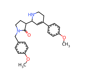 COc1ccc(CN2CCC(C3C=C(c4ccc(OC)cc4)CCN3)C2=O)cc1